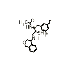 CC(=O)N[C@@H](Cc1cc(F)cc(F)c1)[C@@H](S)CNC1COCc2ccccc21